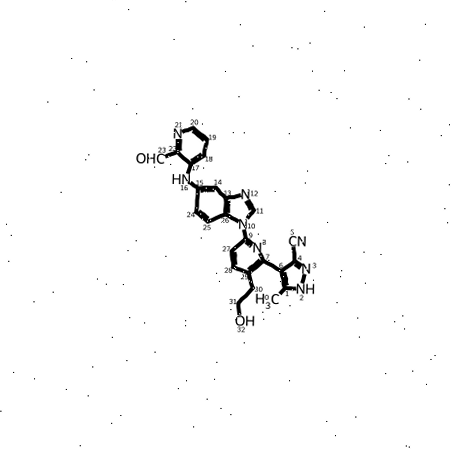 Cc1[nH]nc(C#N)c1-c1nc(-n2cnc3cc(Nc4cccnc4C=O)ccc32)ccc1CCO